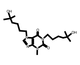 Cn1c(=O)n(CCCCC(C)(C)O)c(=O)c2c1ncn2CCCCC(C)(C)O